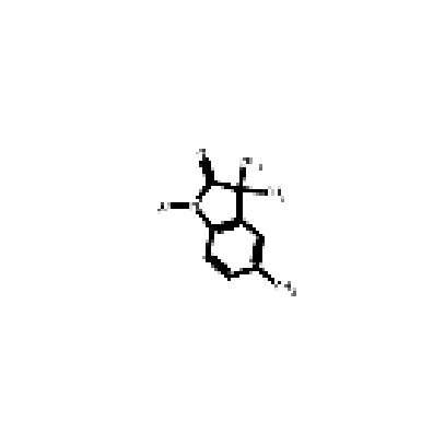 Cc1ccc2c(c1)C(C)(N)C(=O)N2C